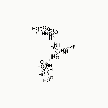 O=C(O)CCC(NC(=O)N[C@@H](CCCCNC(=O)c1cc(C(=O)NCCCC[C@H](NC(=O)N[C@@H](CCC(=O)O)C(=O)O)C(=O)O)cc(-n2cc(CCCF)nn2)c1)C(=O)O)C(=O)O